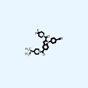 CN(C)C1CCN(C(=O)c2ccc3c(c2)cc(C(=O)N2CCC(F)(F)CC2)n3-c2ccc(C#N)cc2)CC1